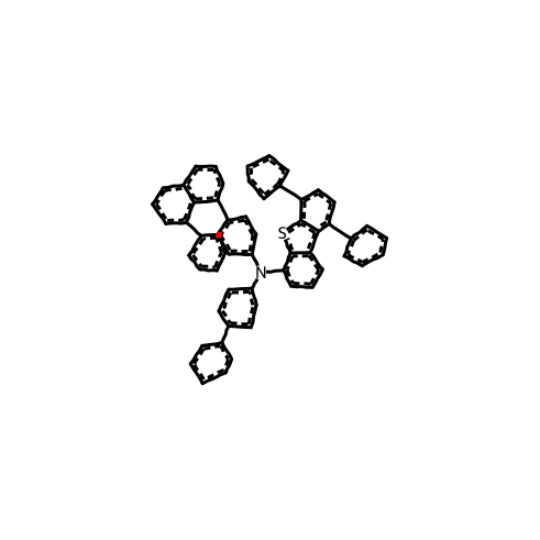 c1ccc(-c2ccc(N(c3ccc(-c4cccc5cccc(-c6ccccc6)c45)cc3)c3cccc4c3sc3c(-c5ccccc5)ccc(-c5ccccc5)c34)cc2)cc1